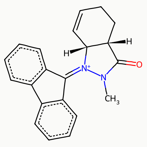 CN1C(=O)[C@H]2CCC=C[C@H]2[N+]1=C1c2ccccc2-c2ccccc21